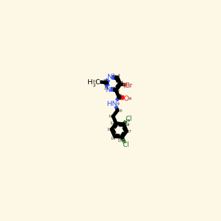 Cc1ncc(Br)c(C(=O)NCCc2ccc(Cl)cc2Cl)n1